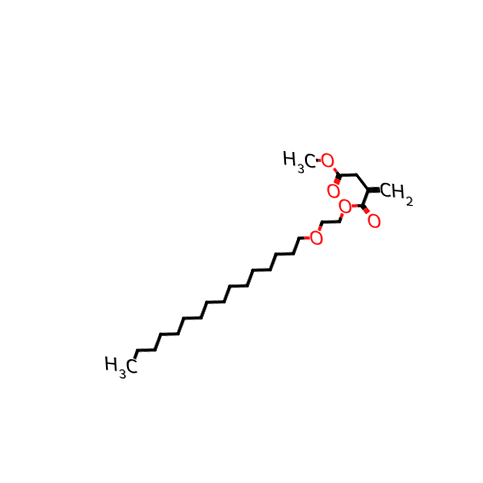 C=C(CC(=O)OC)C(=O)OCCOCCCCCCCCCCCCCCCC